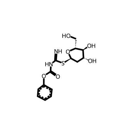 N=C(NC(=O)Oc1ccccc1)S[C@@H]1C[C@@H](O)[C@H](O)[C@@H](CO)O1